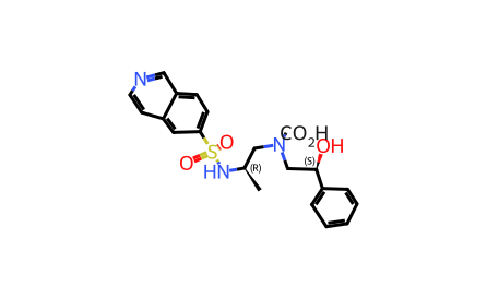 C[C@H](CN(C[C@@H](O)c1ccccc1)C(=O)O)NS(=O)(=O)c1ccc2cnccc2c1